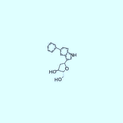 OC[C@H]1OC(c2c[nH]c3ccc(-c4ccccc4)cc23)C[C@@H]1O